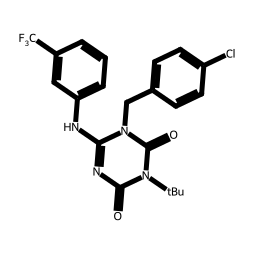 CC(C)(C)n1c(=O)nc(Nc2cccc(C(F)(F)F)c2)n(Cc2ccc(Cl)cc2)c1=O